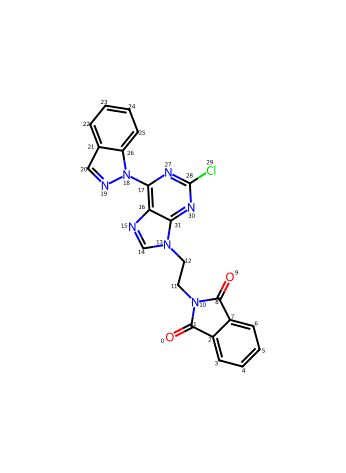 O=C1c2ccccc2C(=O)N1CCn1cnc2c(-n3ncc4ccccc43)nc(Cl)nc21